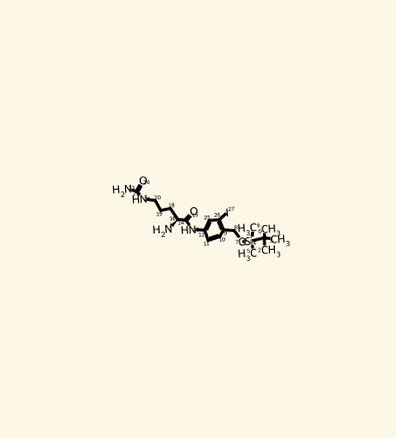 CC(C)(C)[Si](C)(C)OCc1ccc(NC(=O)[C@@H](N)CCCNC(N)=O)cc1I